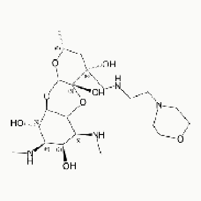 CN[C@@H]1[C@H](O)[C@H](NC)C2O[C@]3(O)C(OC2[C@H]1O)O[C@H](C)C[C@@]3(O)CNCCN1CCOCC1